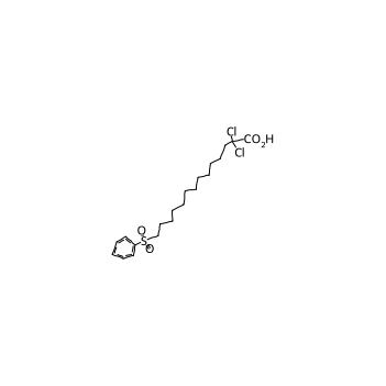 O=C(O)C(Cl)(Cl)CCCCCCCCCCCCS(=O)(=O)c1ccccc1